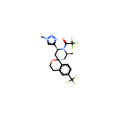 C[C@H]1C[C@@]2(C[C@@H](c3cn(C)nn3)N1C(=O)C(F)(F)F)OCCc1cc(C(F)(F)F)ccc12